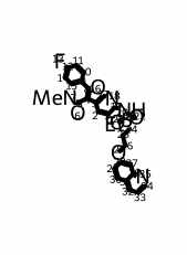 CCc1cc2c(C(=O)NC)c(-c3ccc(F)cc3)oc2nc1NS(=O)(=O)CCCOc1ccc2cccnc2c1